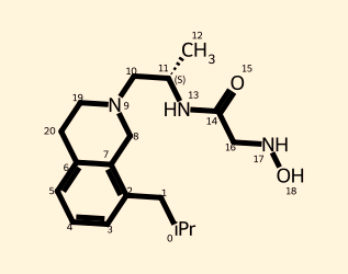 CC(C)Cc1cccc2c1CN(C[C@H](C)NC(=O)CNO)CC2